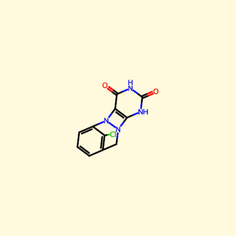 O=c1[nH]c(=O)c2c([nH]1)n1n2-c2cccc(c2Cl)C1